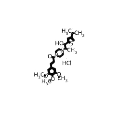 COc1cc(C=CC(=O)N2CCN(C(C)C(O)c3cc(C(C)C)cs3)CC2)cc(OC)c1OC.Cl